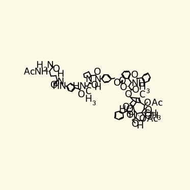 CC(=O)N[C@@H](CCC(=O)NNc1ccc(C(=O)N[C@H](C)C(=O)N2CCCC2C(=O)Nc2ccc(COC(=O)O[C@@H](C(=O)O[C@H]3C4C[C@@]5(O)[C@@H](OC(=O)c6ccccc6)[C@]6(COC(C)=O)[C@@H]7CO[C@@H]7C[C@H](O)[C@@]6(C)C(=O)[C@H](OC(C)=O)C6=C(C)C3C645)[C@@H](NC(=O)c3ccccc3)c3ccccc3)cc2)cc1)C(N)=O